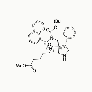 COC(=O)CCCCC(=O)[C@@]1(CN(C(=O)OC(C)(C)C)[C@H](C)c2cccc3ccccc23)CNC[C@H]1c1ccccc1